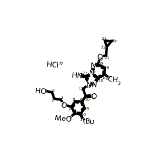 COc1c(OCCCO)cc(C(=O)Cn2nc3c(C)cc(OCC4CC4)nn3c2=N)cc1C(C)(C)C.Cl